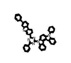 c1ccc(-c2ccc3c(c2)sc2cc(-c4nc(-c5ccccc5)nc(-n5c6ccccc6c6c7c8ccccc8n(-c8ccccc8)c7ccc65)n4)ccc23)cc1